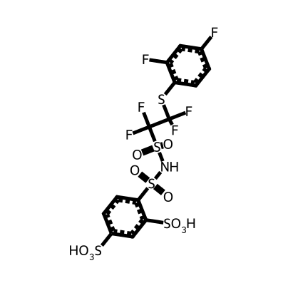 O=S(=O)(O)c1ccc(S(=O)(=O)NS(=O)(=O)C(F)(F)C(F)(F)Sc2ccc(F)cc2F)c(S(=O)(=O)O)c1